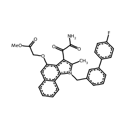 COC(=O)COc1cc2ccccc2c2c1c(C(=O)C(N)=O)c(C)n2Cc1cccc(-c2ccc(F)cc2)c1